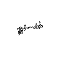 O=C(COc1cccc2c1C(=O)N(C1CCC(=O)NC1=O)C2=O)NCCOCCOCCN1CCC[C@@H](Nc2ncc(Cl)c(-c3c[nH]c4ccccc34)n2)C1